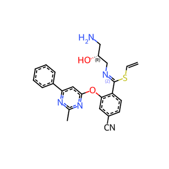 C=CS/C(=N\C[C@H](O)CN)c1ccc(C#N)cc1Oc1cc(-c2ccccc2)nc(C)n1